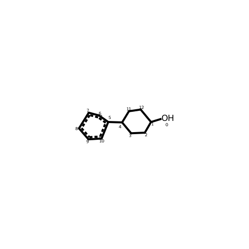 OC1CCC(c2[c]cccc2)CC1